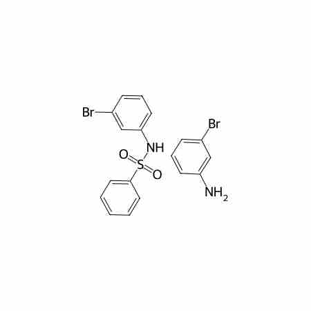 Nc1cccc(Br)c1.O=S(=O)(Nc1cccc(Br)c1)c1ccccc1